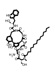 CCCCCCCCCCCCCCCC(=O)N(C)[C@H](CO)C(=O)N[C@H](N)C(=O)NCC(=O)N(C)[C@@H]1C(=O)N[C@@H](C)C(=O)N[C@H](C(=O)N[C@H](CO)Cc2c[nH]c3ccccc23)Cc2ccc(O)c(c2)-c2cc1ccc2O